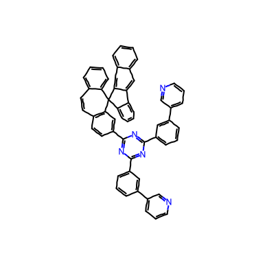 C1=Cc2ccc(-c3nc(-c4cccc(-c5cccnc5)c4)nc(-c4cccc(-c5cccnc5)c4)n3)cc2C2(c3ccccc31)c1ccccc1-c1cc3ccccc3cc12